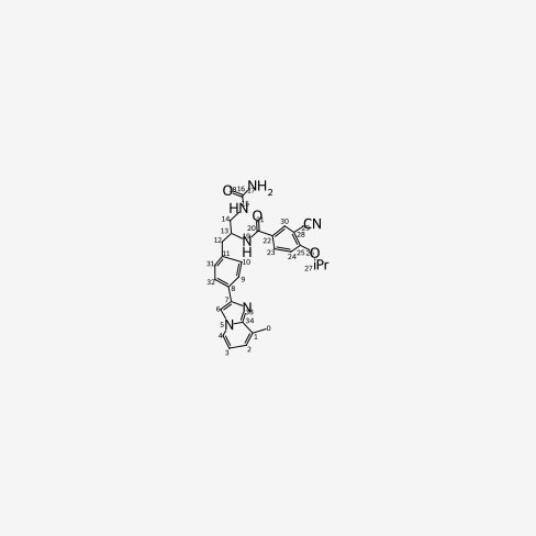 Cc1cccn2cc(-c3ccc(CC(CNC(N)=O)NC(=O)c4ccc(OC(C)C)c(C#N)c4)cc3)nc12